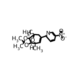 CC1(C)O[C@@H]2[C@H](O1)[C@@]1(C)C=C(c3ccc([N+](=O)[O-])cn3)C[C@]2(C)O1